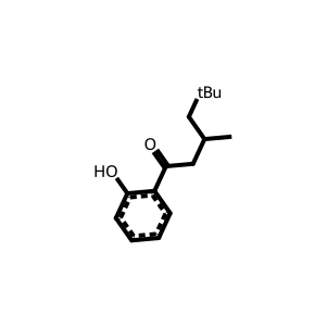 CC(CC(=O)c1ccccc1O)CC(C)(C)C